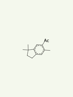 CC(=O)c1cc2c(cc1C)CCC2(C)C